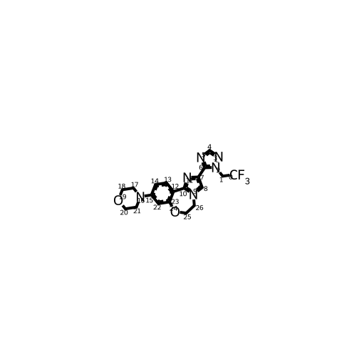 FC(F)(F)Cn1ncnc1-c1cn2c(n1)-c1ccc(N3CCOCC3)cc1OCC2